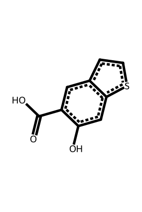 O=C(O)c1cc2ccsc2cc1O